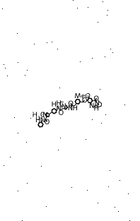 COc1cc2c(cc1OCc1cccc(CC(=O)Nc3cc(C(=O)Nc4ccc(-c5cc(C(=O)Nc6ccccc6)n(C)c5)cc4)n(C)c3)c1)N=C[C@@H]1CCCCN1C2=O